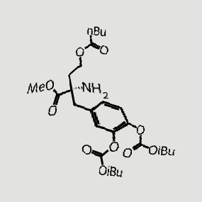 CCCCC(=O)OCC[C@@](N)(Cc1ccc(OC(=O)OCC(C)C)c(OC(=O)OCC(C)C)c1)C(=O)OC